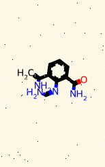 C=C(N)c1cccc(C(N)=O)c1/N=C\N